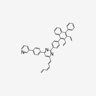 C=C/C=C\C=C\c1cc(-c2ccc(-c3cccnc3)cc2)nc(-c2ccc(-c3c(C=C)c(C=C)c(-c4ccccc4)c4ccccc34)cc2)n1